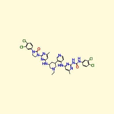 CCN1CC(Nc2cc(C)nc(N3CCN(c4ccc(Cl)c(Cl)c4)C3=O)n2)CC(c2cnccc2Nc2cc(C)nc(NC(=O)Nc3ccc(Cl)c(Cl)c3)n2)C1